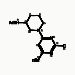 CCCCc1cc(N2CCCC(NC(C)=O)C2)nc(Cl)n1